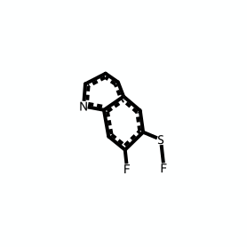 FSc1cc2cccnc2cc1F